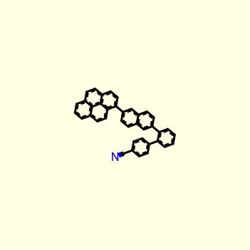 N#Cc1ccc(-c2ccccc2-c2ccc3cc(-c4ccc5ccc6cccc7ccc4c5c67)ccc3c2)cc1